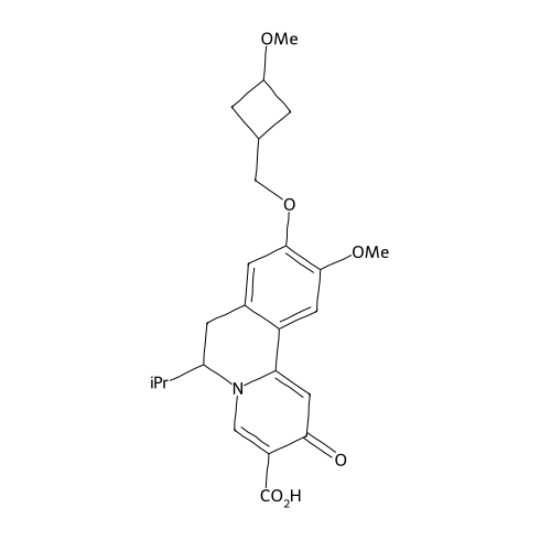 COc1cc2c(cc1OCC1CC(OC)C1)CC(C(C)C)n1cc(C(=O)O)c(=O)cc1-2